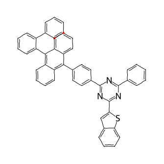 c1ccc(-c2nc(-c3ccc(-c4c5ccccc5c(-c5ccccc5-c5ccccc5)c5ccccc45)cc3)nc(-c3cc4ccccc4s3)n2)cc1